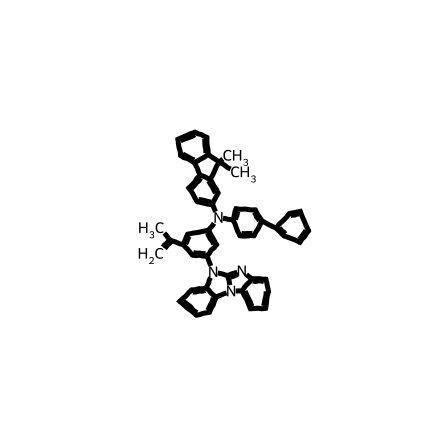 C=C(C)c1cc(N(c2ccc(-c3ccccc3)cc2)c2ccc3c(c2)C(C)(C)c2ccccc2-3)cc(-n2c3ccccc3n3c4ccccc4nc23)c1